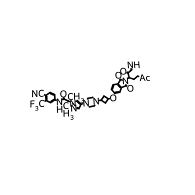 CC(=O)CCC(C(=O)C=N)N1C(=O)c2ccc(OC3CC(N4CCN(c5cnn(C(C)(C)C(=O)Nc6ccc(C#N)c(C(F)(F)F)c6)c5)CC4)C3)cc2C1=O